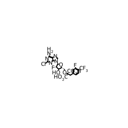 Nc1nc(Cl)nc2c1ncn2[C@@H]1O[C@H](COC(Cc2ccc(C(F)(F)F)c(F)c2)(C(=O)O)C(=O)O)[C@@H](O)[C@@H]1F